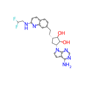 Nc1ncnc2c1ccn2[C@@H]1C[C@H](CCc2ccc3ccc(NCC(F)F)nc3c2)[C@@H](O)[C@H]1O